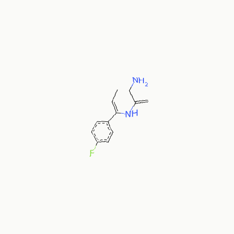 C=C(CN)N/C(=C\C)c1ccc(F)cc1